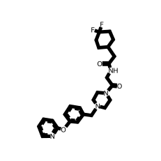 O=C(CC1CCC(F)(F)CC1)NCC(=O)N1CCN(Cc2cccc(Oc3ccccn3)c2)CC1